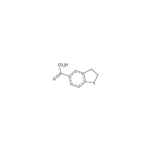 CCOC(=O)C(=O)c1ccc2c(c1)CCS2